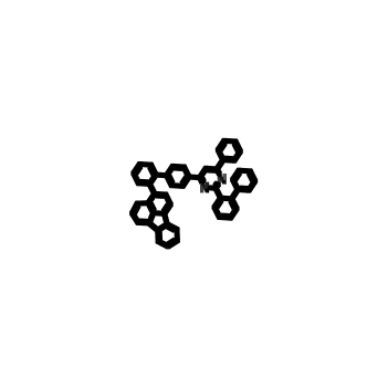 c1ccc(-c2cc(-c3ccc(-c4ccccc4-c4ccc5c6c(cccc46)-c4ccccc4-5)cc3)nc(-c3ccccc3-c3ccccc3)n2)cc1